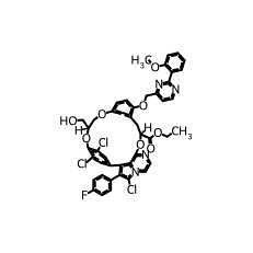 CCOC(=O)[C@H]1Cc2cc(ccc2OCc2ccnc(-c3ccccc3OC)n2)OC[C@@H](CO)Oc2c(Cl)cc(cc2Cl)-c2c(-c3ccc(F)cc3)c(Cl)n3ccnc(c23)O1